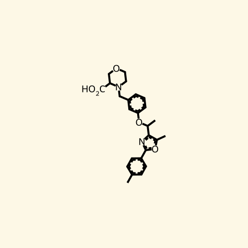 Cc1ccc(-c2nc(C(C)Oc3cccc(CN4CCOCC4C(=O)O)c3)c(C)o2)cc1